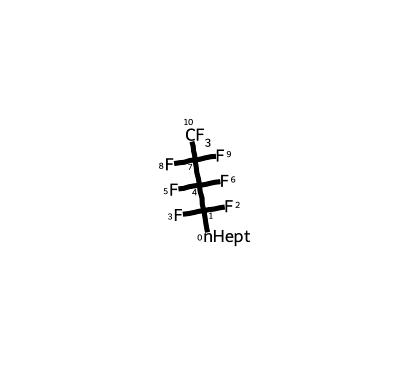 [CH2]CCCCCCC(F)(F)C(F)(F)C(F)(F)C(F)(F)F